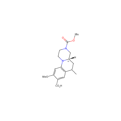 COc1cc2c(cc1C(=O)O)C(C)C[C@H]1CN(C(=O)OC(C)(C)C)CCN21